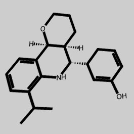 CC(C)c1cccc2c1N[C@@H](C1C=C(O)C=CC1)[C@@H]1CCCO[C@H]21